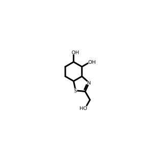 OCC1=NC2C(CCC(O)C2O)S1